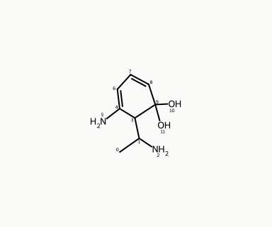 CC(N)C1C(N)=CC=CC1(O)O